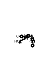 O=C(O)CCCCc1nc2cc(C(=O)N3CCC4(CC3)CCN(c3ccccc3)C4=O)ccc2nc1-c1ccc(Cl)cc1